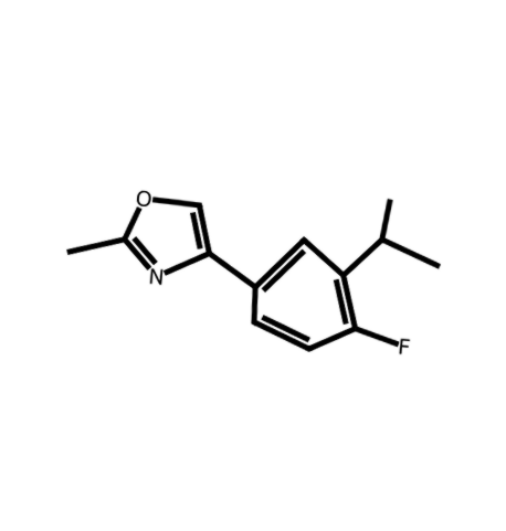 Cc1nc(-c2ccc(F)c(C(C)C)c2)co1